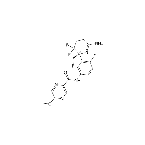 COc1cnc(C(=O)Nc2ccc(F)c([C@@]3(CF)N=C(N)CCC3(F)F)c2)cn1